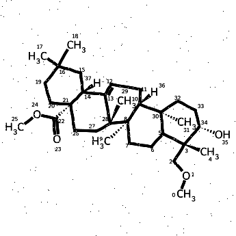 COC[C@]1(C)C2CC[C@]3(C)[C@H](CC=C4[C@H]5CC(C)(C)CC[C@]5(C(=O)OC)CC[C@]43C)[C@@]2(C)CC[C@@H]1O